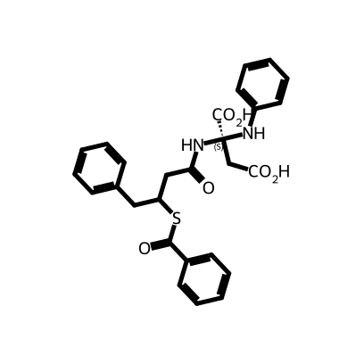 O=C(O)C[C@@](NC(=O)CC(Cc1ccccc1)SC(=O)c1ccccc1)(Nc1ccccc1)C(=O)O